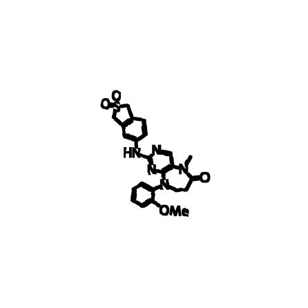 COc1ccccc1N1CCC(=O)N(C)c2cnc(Nc3ccc4c(c3)CS(=O)(=O)C4)nc21